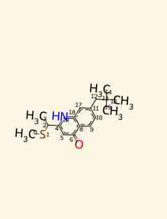 CSC(C)c1cc(=O)c2ccc(CC(C)(C)C)cc2[nH]1